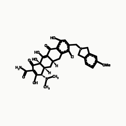 COc1ccc2c(c1)CN(Cc1cc(O)c3c(c1Cl)C[C@H]1C[C@H]4[C@H](N(C)C)C(O)=C(C(N)=O)C(=O)[C@@]4(O)C(O)=C1C3=O)C2